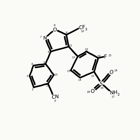 N#Cc1cccc(-c2noc(C(F)(F)F)c2-c2ccc(S(N)(=O)=O)c(F)c2)c1